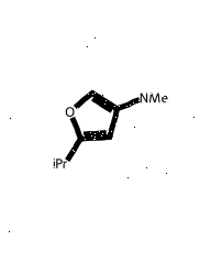 CNc1coc(C(C)C)c1